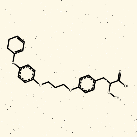 COC(Cc1ccc(OCCCOc2ccc(OC3=CC=CCC3)cc2)cc1)C(=O)O